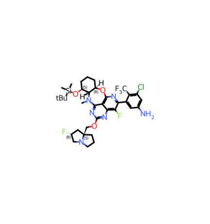 CN1c2nc(OC[C@@]34CCCN3C[C@H](F)C4)nc3c(F)c(-c4cc(N)cc(Cl)c4C(F)(F)F)nc(c23)O[C@@H]2CCC[C@H](O[Si](C)(C)C(C)(C)C)[C@H]21